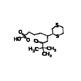 CC(C)(C)C(=O)CC(CCCS(=O)(=O)O)C1CSCCS1